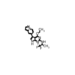 CCOc1nc(NC(C)C(F)(F)F)nc2[nH]cc(-c3ccn4nccc4c3)c12